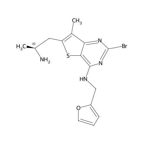 Cc1c(C[C@H](C)N)sc2c(NCc3ccco3)nc(Br)nc12